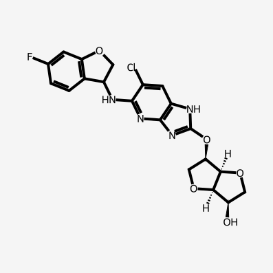 O[C@@H]1CO[C@H]2[C@@H]1OC[C@H]2Oc1nc2nc(NC3COc4cc(F)ccc43)c(Cl)cc2[nH]1